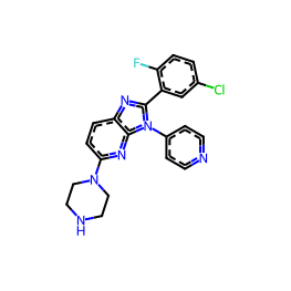 Fc1ccc(Cl)cc1-c1nc2ccc(N3CCNCC3)nc2n1-c1ccncc1